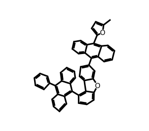 Cc1ccc(-c2c3ccccc3c(-c3ccc4c(c3)oc3cccc(-c5c6ccccc6c(-c6ccccc6)c6ccccc56)c34)c3ccccc23)o1